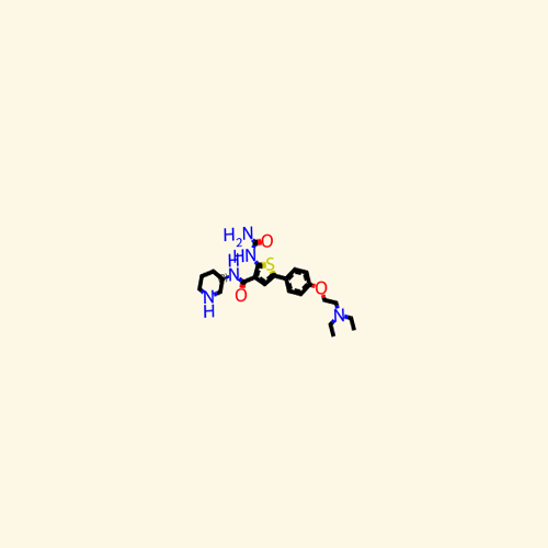 CCN(CC)CCOc1ccc(-c2cc(C(=O)N[C@@H]3CCCNC3)c(NC(N)=O)s2)cc1